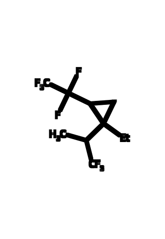 CCC1(C(C)C(F)(F)F)CC1C(F)(F)C(F)(F)F